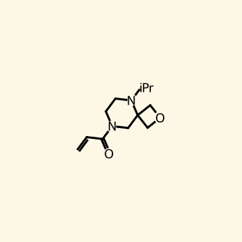 C=CC(=O)N1CCN(C(C)C)C2(COC2)C1